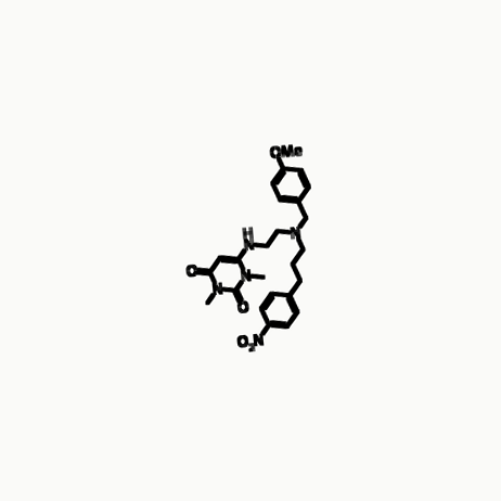 COc1ccc(CN(CCCc2ccc([N+](=O)[O-])cc2)CCNc2cc(=O)n(C)c(=O)n2C)cc1